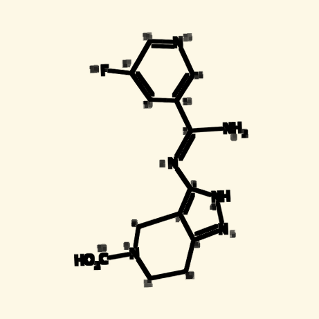 N/C(=N\c1[nH]nc2c1CN(C(=O)O)CC2)c1cncc(F)c1